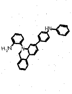 Nc1ccccc1N1Cc2ccccc2C2C=CC(c3ccc(Nc4ccccc4)cc3)=CC21